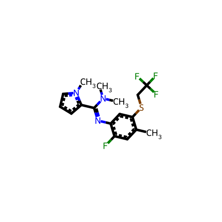 Cc1cc(F)c(N=C(c2cccn2C)N(C)C)cc1SCC(F)(F)F